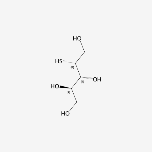 OC[C@@H](O)[C@@H](O)[C@H](S)CO